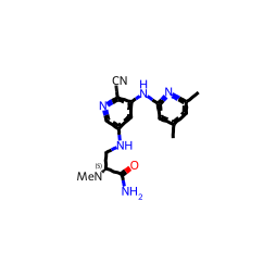 CN[C@@H](CNc1cnc(C#N)c(Nc2cc(C)cc(C)n2)c1)C(N)=O